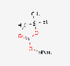 CCCCCOC(=O)O[Si](C)(C)CC